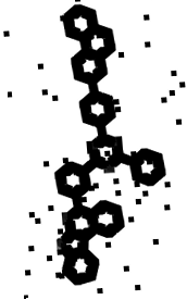 c1ccc(-c2nc(-c3ccc(-c4ccc5c(ccc6ccccc65)c4)cc3)nc(-c3cccc(-c4nc5sc6ccccc6c5c5ccccc45)c3)n2)cc1